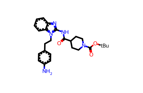 CC(C)(C)OC(=O)N1CCC(C(=O)Nc2nc3ccccc3n2CCc2ccc(N)cc2)CC1